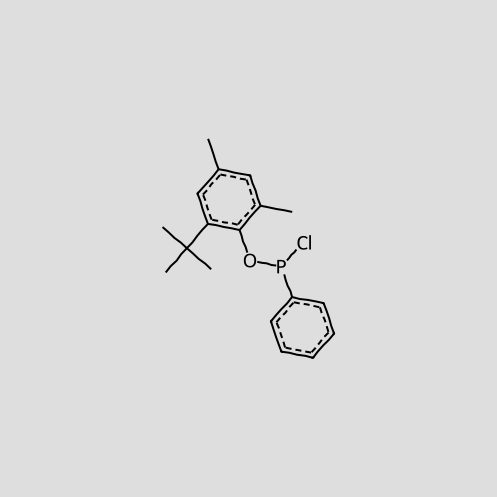 Cc1cc(C)c(OP(Cl)c2ccccc2)c(C(C)(C)C)c1